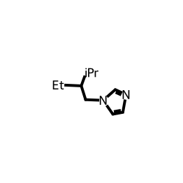 CCC(Cn1ccnc1)C(C)C